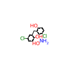 NO.Oc1ccc(Cl)cc1Cc1cc(Cl)ccc1O